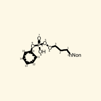 CCCCCCCCCCCCOOP(=O)(O)Oc1ccccc1